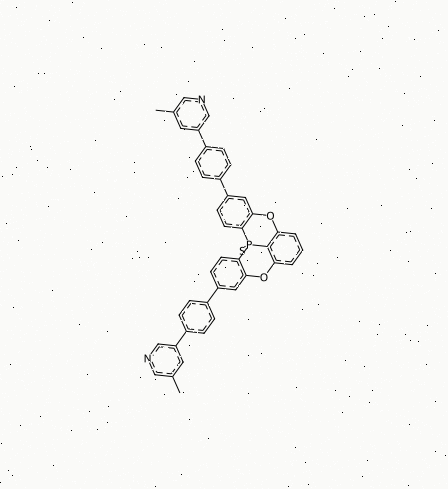 Cc1cncc(-c2ccc(-c3ccc4c(c3)Oc3cccc5c3P4(=S)c3ccc(-c4ccc(-c6cncc(C)c6)cc4)cc3O5)cc2)c1